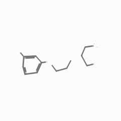 C[C@H](COc1cccc(C(F)(F)F)c1)C[C@H](CN)CC(=O)O